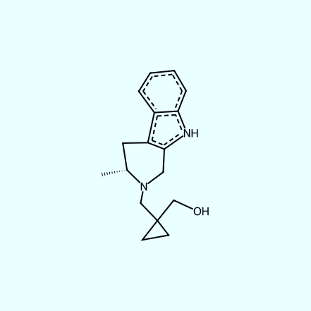 C[C@@H]1Cc2c([nH]c3ccccc23)CN1CC1(CO)CC1